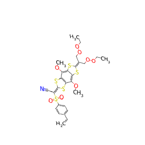 C=Cc1ccc(S(=O)(=O)C(C#N)=C2Sc3c(OC)c4c(c(OC)c3S2)SC(=C(COOCC)COOCC)S4)cc1